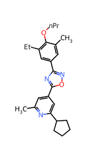 CCCOc1c(C)cc(-c2noc(-c3cc(C)nc(C4CCCC4)c3)n2)cc1CC